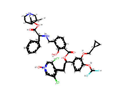 O=C(OC(Cc1c(Cl)c[n+]([O-])cc1Cl)c1ccc(OC(F)F)c(OCC2CC2)c1)c1cccc(CNC(C(=O)O[C@H]2CN3CCC2CC3)c2ccccc2)c1O